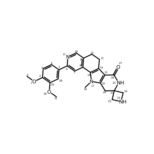 COc1ccc(-c2cc3c(cn2)CCc2c4c(n(C)c2-3)CC2(CNC2)NC4=O)cc1OC